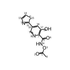 CC(=O)ONC(=O)c1ncc(-c2nccs2)cc1O